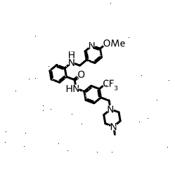 COc1ccc(CNc2ccccc2C(=O)Nc2ccc(CN3CCN(C)CC3)c(C(F)(F)F)c2)cn1